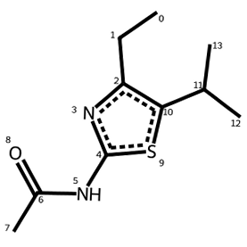 CCc1nc(NC(C)=O)sc1C(C)C